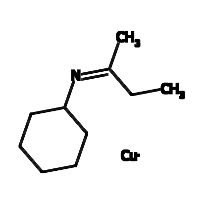 CCC(C)=NC1CCCCC1.[Cu]